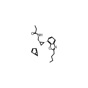 CCCCc1nc2cccc([C@@H]3C[C@H]3CNC(=O)CC)c2o1.c1cc2cc-2c1